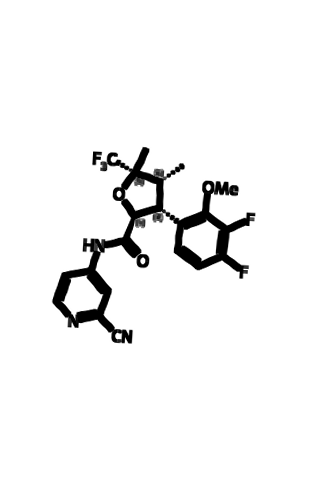 COc1c([C@@H]2[C@@H](C(=O)Nc3ccnc(C#N)c3)O[C@](C)(C(F)(F)F)[C@@H]2C)ccc(F)c1F